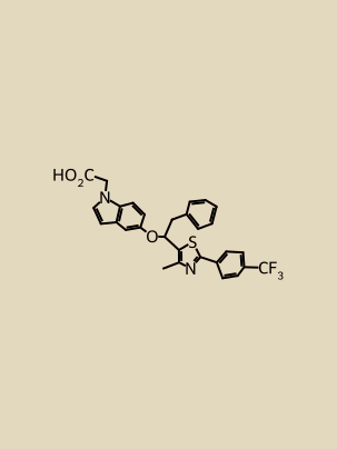 Cc1nc(-c2ccc(C(F)(F)F)cc2)sc1C(Cc1ccccc1)Oc1ccc2c(ccn2CC(=O)O)c1